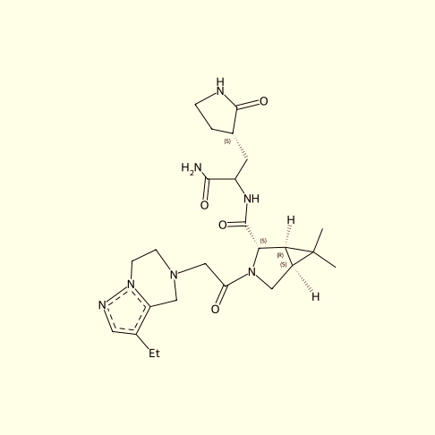 CCc1cnn2c1CN(CC(=O)N1C[C@H]3[C@@H]([C@H]1C(=O)NC(C[C@@H]1CCNC1=O)C(N)=O)C3(C)C)CC2